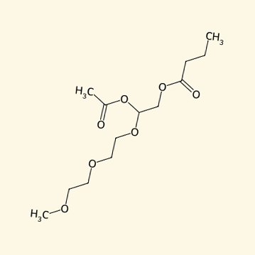 CCCC(=O)OCC(OCCOCCOC)OC(C)=O